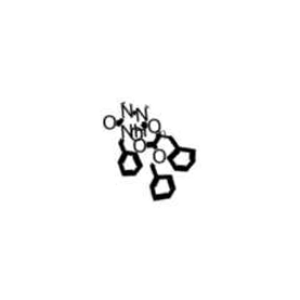 CN(C(=O)NCc1ccccc1)N(C)C(=O)O[C@@H](Cc1ccccc1)C(=O)OCc1ccccc1